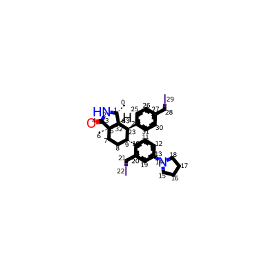 C[C@H]1NC(=O)[C@]2(C)CC[C@@H](c3ccc(N4CCCC4)cc3CI)[C@H](c3ccc(CI)cc3)[C@H]12